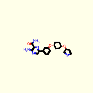 NC(=O)c1nc(-c2cccc(O[C@H]3CC[C@@H](OC4C=CN=C4)CC3)c2)cnc1N